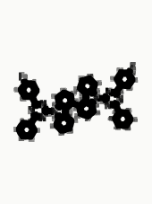 Fc1ccc(-c2nc(-c3ccccc3)nc(-n3c4ccccc4c4c(-c5cccc6c5c5ccccc5n6-c5nc(-c6ccccc6)nc(-c6ccc(F)cc6)n5)cccc43)n2)cc1